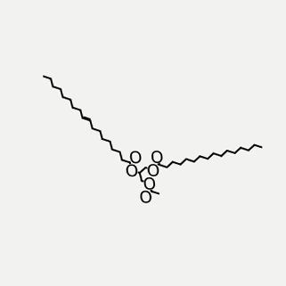 CCCCCCCCC=CCCCCCCCC(=O)OC(COC(C)=O)COC(=O)CCCCCCCCCCCCCCC